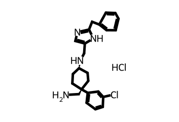 Cl.NC[C@]1(c2cccc(Cl)c2)CC[C@@H](NCc2cnc(Cc3ccccc3)[nH]2)CC1